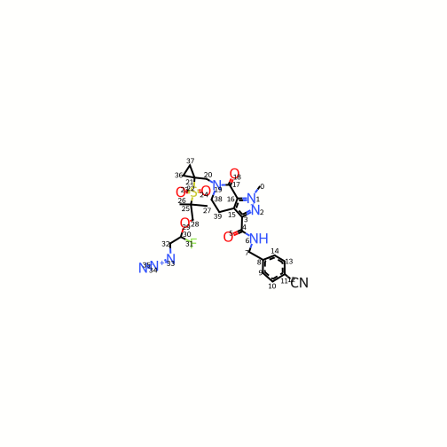 Cn1nc(C(=O)NCc2ccc(C#N)cc2)c2c1C(=O)N(CC1(S(=O)(=O)C(C)(C)COC(F)CN=[N+]=[N-])CC1)CC2